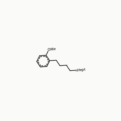 CCCCCCCC[CH]CCc1ccccc1OC